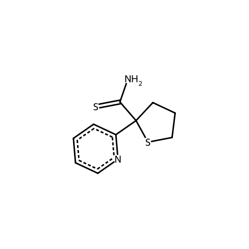 NC(=S)C1(c2ccccn2)CCCS1